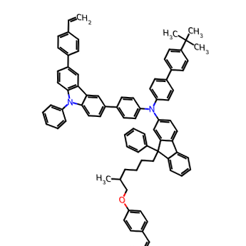 C=Cc1ccc(OCC(C)CCCCC2(c3ccccc3)c3ccccc3-c3ccc(N(c4ccc(-c5ccc(C(C)(C)C)cc5)cc4)c4ccc(-c5ccc6c(c5)c5cc(-c7ccc(C=C)cc7)ccc5n6-c5ccccc5)cc4)cc32)cc1